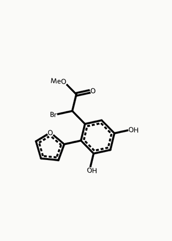 COC(=O)C(Br)c1cc(O)cc(O)c1-c1ccco1